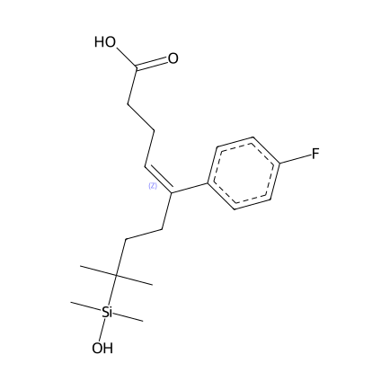 CC(C)(CC/C(=C/CCC(=O)O)c1ccc(F)cc1)[Si](C)(C)O